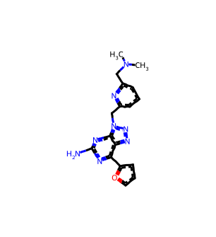 CN(C)Cc1cccc(Cn2nnc3c(-c4ccco4)nc(N)nc32)n1